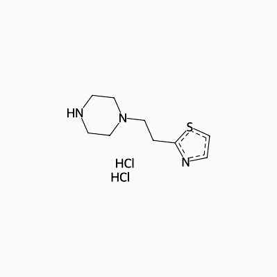 Cl.Cl.c1csc(CCN2CCNCC2)n1